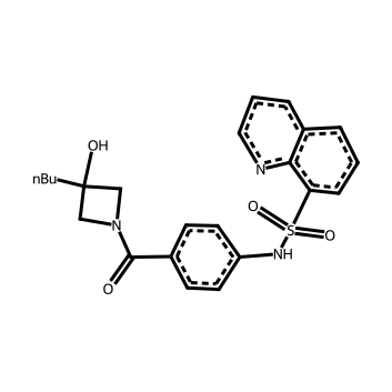 CCCCC1(O)CN(C(=O)c2ccc(NS(=O)(=O)c3cccc4cccnc34)cc2)C1